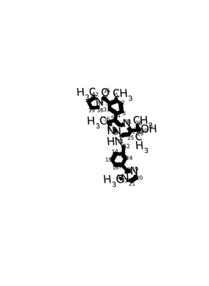 Cc1ccc(-c2c(C)nn3c(NCc4cccc(-c5nccn5C)c4)cc(C(C)(C)O)nc23)cc1C(=O)N1CCC[C@@H]1C